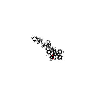 CCCc1nc(CC)c(C(=O)OCCC(=O)Nc2ccccc2)n1Cc1ccc(-c2ccccc2-c2nnnn2C(c2ccccc2)(c2ccccc2)c2ccccc2)cc1